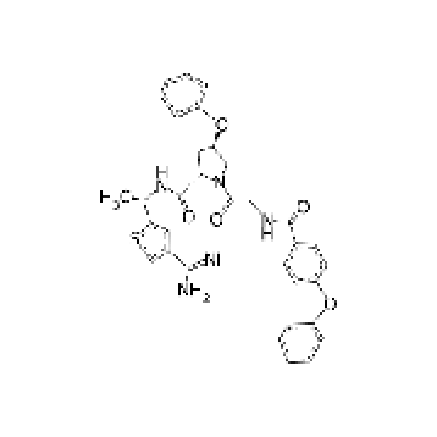 C[C@@H](NC(=O)[C@@H]1C[C@@H](Oc2ccccc2)CN1C(=O)CNC(=O)c1ccc(Oc2ccccc2)cc1)c1cc(C(=N)N)cs1